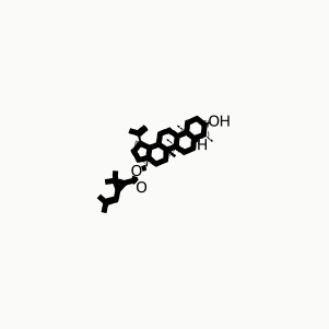 C=C(C)[C@@H]1CC[C@]2(COC(=O)C3C(C=C(C)C)C3(C)C)CC[C@]3(C)C(CCC4[C@@]5(C)CC[C@H](O)[C@H](C)[C@@H]5CC[C@]43C)C12